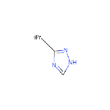 C[C](C)c1nc[nH]n1